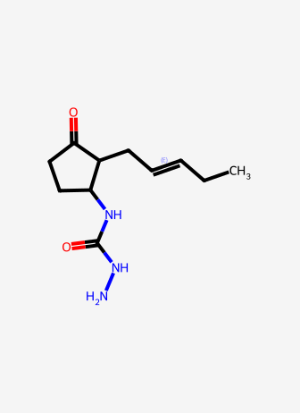 CC/C=C/CC1C(=O)CCC1NC(=O)NN